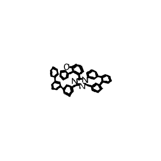 c1ccc(-c2cccc(-c3cccc(-c4nc(-c5cccc(-c6ccccc6-c6ccccc6)c5)nc(-c5cccc6oc7ccccc7c56)n4)c3)c2)cc1